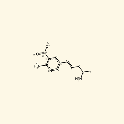 CC(N)CC=Cc1cnc(N)c([N+](=O)[O-])c1